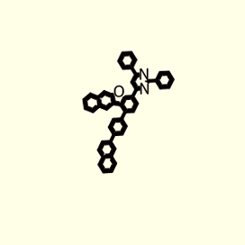 c1ccc(-c2cc(-c3ccc(-c4ccc(-c5ccc6ccccc6c5)cc4)c4c3oc3cc5ccccc5cc34)nc(-c3ccccc3)n2)cc1